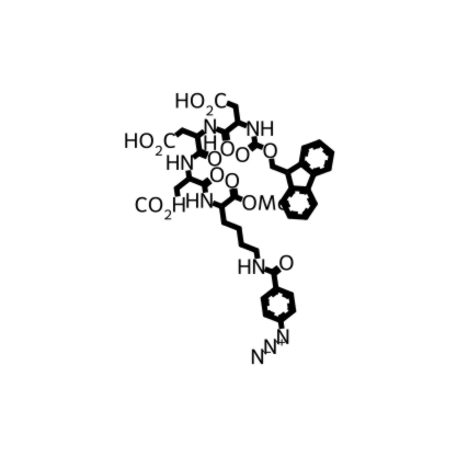 COC(=O)C(CCCCNC(=O)c1ccc(N=[N+]=[N-])cc1)NC(=O)C(CC(=O)O)NC(=O)C(CC(=O)O)NC(=O)C(CC(=O)O)NC(=O)OCC1c2ccccc2-c2ccccc21